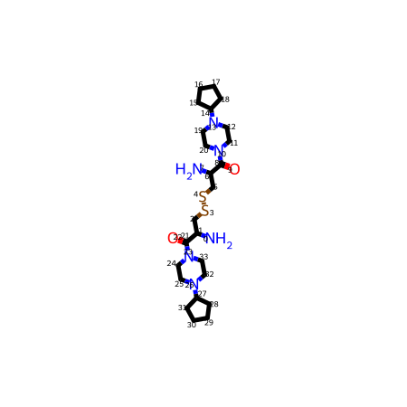 NC(CSSCC(N)C(=O)N1CCN(C2CCCC2)CC1)C(=O)N1CCN(C2CCCC2)CC1